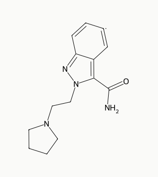 NC(=O)c1c2c[c]ccc2nn1CCN1CCCC1